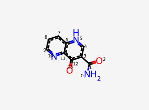 NC(=O)c1c[nH]c2cccnc2c1=O